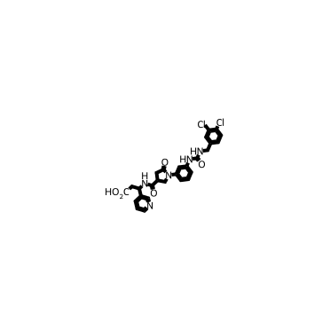 O=C(O)CC(NC(=O)C1CC(=O)N(c2cccc(NC(=O)NCc3ccc(Cl)c(Cl)c3)c2)C1)c1cccnc1